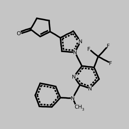 CN(c1ccccc1)c1ncc(C(F)(F)F)c(-n2cc(C3=CC(=O)CC3)cn2)n1